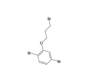 BrCCCOc1cc(Br)ccc1Br